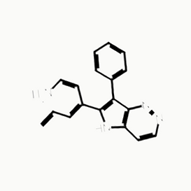 C=C/C=C(\C=C/N)c1[nH]c2ccnnc2c1-c1ccccc1